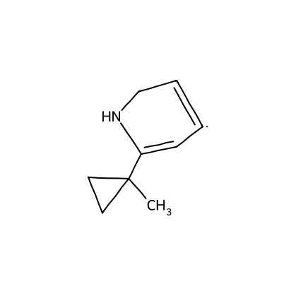 CC1(C2=C[C]=CCN2)CC1